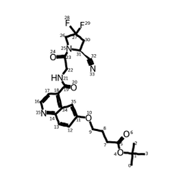 CC(C)(C)OC(=O)CCCOc1ccc2nccc(C(=O)NCC(=O)N3CC(F)(F)C[C@H]3C#N)c2c1